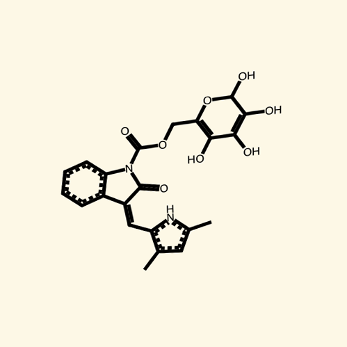 Cc1cc(C)c(/C=C2\C(=O)N(C(=O)OCC3=C(O)C(O)=C(O)C(O)O3)c3ccccc32)[nH]1